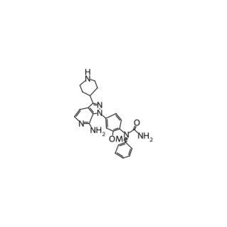 COc1cc(-n2nc(C3CCNCC3)c3ccnc(N)c32)ccc1N(C(N)=O)c1ccccc1